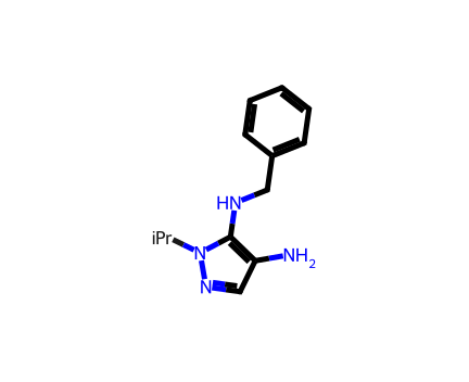 CC(C)n1ncc(N)c1NCc1ccccc1